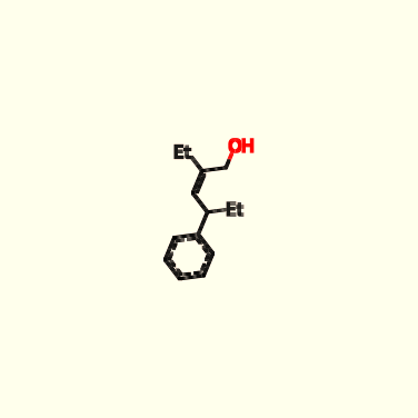 CCC(=CC(CC)c1ccccc1)CO